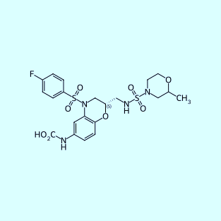 CC1CN(S(=O)(=O)NC[C@H]2CN(S(=O)(=O)c3ccc(F)cc3)c3cc(NC(=O)O)ccc3O2)CCO1